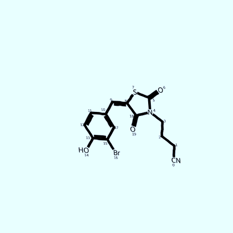 N#CCCCN1C(=O)SC(=Cc2ccc(O)c(Br)c2)C1=O